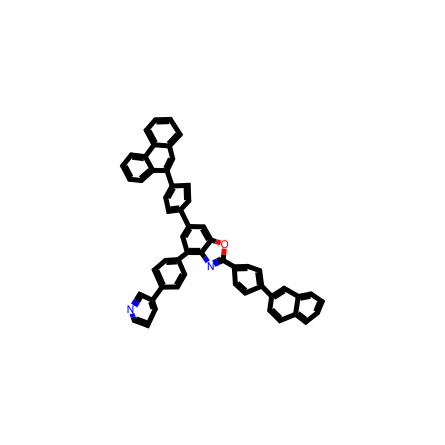 c1cncc(-c2ccc(-c3cc(-c4ccc(-c5cc6ccccc6c6ccccc56)cc4)cc4oc(-c5ccc(-c6ccc7ccccc7c6)cc5)nc34)cc2)c1